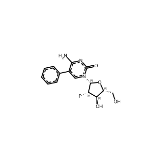 Nc1nc(=O)n([C@@H]2O[C@H](CO)[C@@H](O)[C@@H]2F)cc1-c1ccccc1